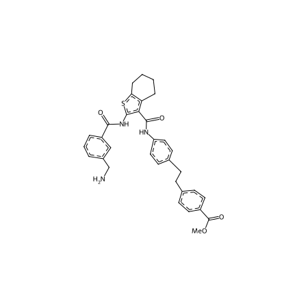 COC(=O)c1ccc(CCc2ccc(NC(=O)c3c(NC(=O)c4cccc(CN)c4)sc4c3CCCC4)cc2)cc1